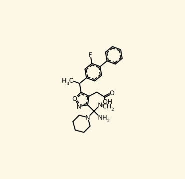 C=NC(N)(c1noc(C(C)c2ccc(-c3ccccc3)c(F)c2)c1CC(=O)O)N1CCCCC1